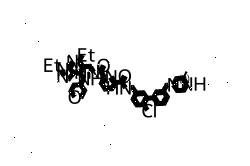 CCc1nc2c(cnn2CC)c(NC2CCOCC2)c1CNC(=O)c1cccc(C(=O)NCc2ccc(Cl)c(-c3cccc(CN4CCN[C@H](C)C4)c3)c2)n1